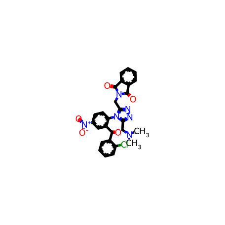 CN(C)Cc1nnc(CN2C(=O)c3ccccc3C2=O)n1-c1ccc([N+](=O)[O-])cc1C(=O)c1ccccc1Cl